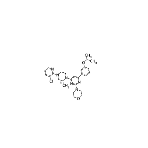 CC(C)Oc1cccc(-c2cc(N3CCN(c4ncccc4Cl)C[C@H]3C)nc(N3CCOCC3)n2)c1